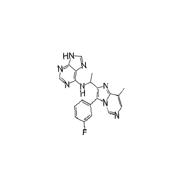 Cc1cncn2c(-c3cccc(F)c3)c(C(C)Nc3ncnc4[nH]cnc34)nc12